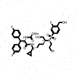 COC(=O)N[C@H](C(=O)N[C@H](CCC[C@@H](CO)N(CCC(C)C)S(=O)(=O)c1ccc(CO)c(F)c1)C1CC1)C(c1ccc(F)cc1)c1ccc(F)cc1